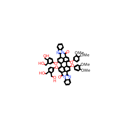 COc1ccc(Oc2cc3c(=O)n4c5ccccc5nc4c4cc(Oc5ccc(CO)c(CO)c5)c5c6c(Oc7ccc(CO)c(CO)c7)cc7c(=O)n8c9ccccc9nc8c8cc(Oc9ccc(OC)c(OC)c9)c(c2c5c34)c6c78)cc1OC